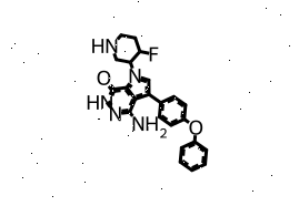 Nc1n[nH]c(=O)c2c1c(-c1ccc(Oc3ccccc3)cc1)cn2C1CNCCC1F